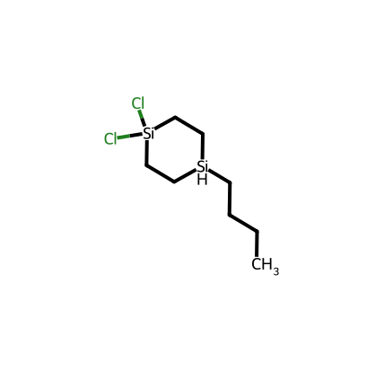 CCCC[SiH]1CC[Si](Cl)(Cl)CC1